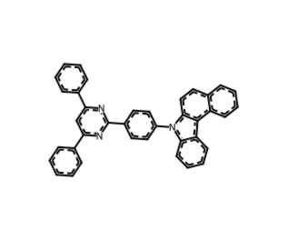 c1ccc(-c2cc(-c3ccccc3)nc(-c3ccc(-n4c5ccccc5c5c6ccccc6ccc54)cc3)n2)cc1